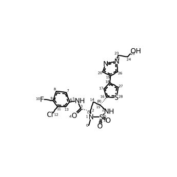 CN1[C@H](C(=O)Nc2ccc(F)c(Cl)c2)C[C@H](c2cc(-c3cnn(CCO)c3)cs2)NS1(=O)=O